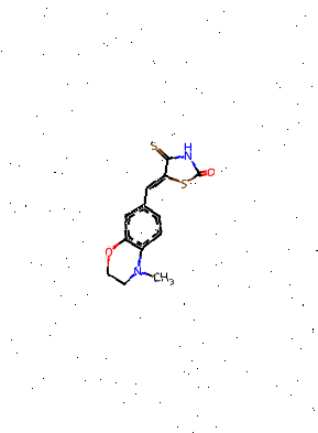 CN1CCOc2cc(/C=C3\SC(=O)NC3=S)ccc21